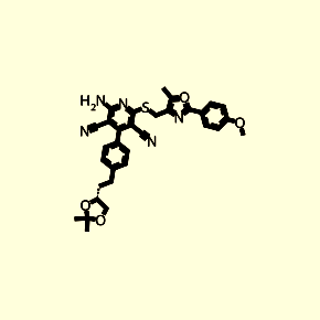 COc1ccc(-c2nc(CSc3nc(N)c(C#N)c(-c4ccc(CC[C@@H]5COC(C)(C)O5)cc4)c3C#N)c(C)o2)cc1